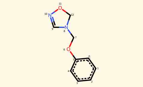 [c]1ccccc1OCN1C=NOC1